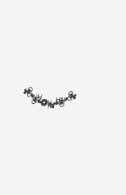 C=C(C)C(=O)OCCNC(=O)OCCN(C)/N=N/c1ccc(COC(=O)NCCOC(=O)C(=C)C)cc1